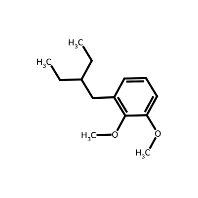 CCC(CC)Cc1cccc(OC)c1OC